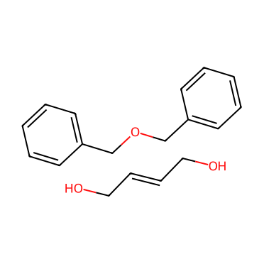 OCC=CCO.c1ccc(COCc2ccccc2)cc1